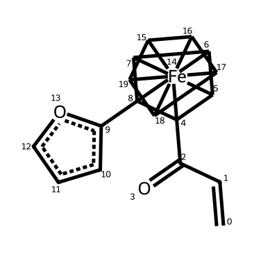 C=CC(=O)[C]12[CH]3[CH]4[CH]5[C]1(c1ccco1)[Fe]43521678[CH]2[CH]1[CH]6[CH]7[CH]28